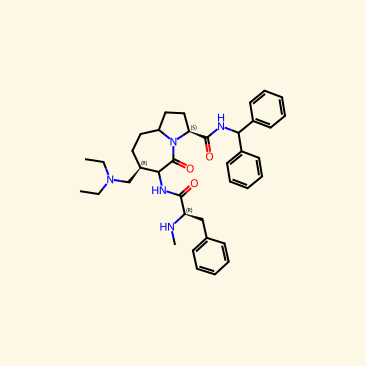 CCN(CC)C[C@H]1CCC2CC[C@@H](C(=O)NC(c3ccccc3)c3ccccc3)N2C(=O)C1NC(=O)[C@@H](Cc1ccccc1)NC